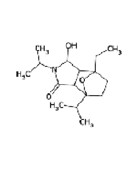 CCC12CCC(C(C)C)(O1)C1C(=O)N(C(C)C)C(O)C12